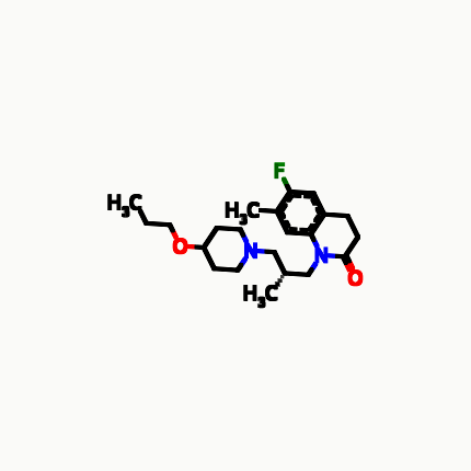 CCCOC1CCN(C[C@@H](C)CN2C(=O)CCc3cc(F)c(C)cc32)CC1